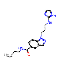 O=C(O)CCNC(=O)c1ccc2c(cnn2CCCNc2ncc[nH]2)c1